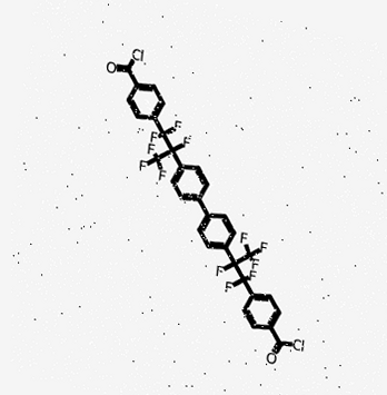 O=C(Cl)c1ccc(C(F)(F)C(F)(c2ccc(-c3ccc(C(F)(C(F)(F)F)C(F)(F)c4ccc(C(=O)Cl)cc4)cc3)cc2)C(F)(F)F)cc1